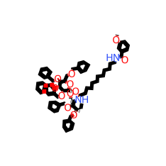 CC[C@@H](OCc1ccccc1)[C@@H](OCc1ccccc1)[C@H](CO[C@H]1OC(COCc2ccccc2)[C@H](OCc2ccccc2)C(OCc2ccccc2)C1OCc1ccccc1)NC(=O)CCCCCCCCCCCNC(=O)c1cccc(OC)c1